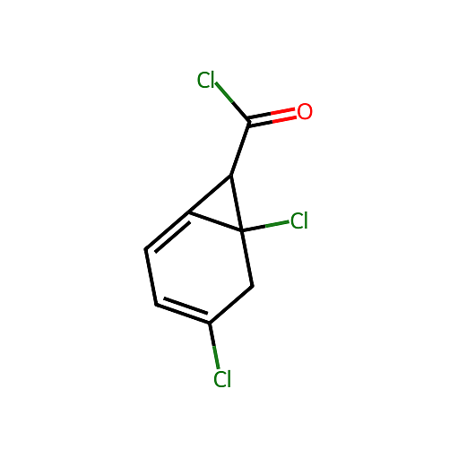 O=C(Cl)C1C2=CC=C(Cl)CC21Cl